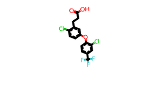 O=C(O)CCc1cc(Oc2ccc(C(F)(F)F)cc2Cl)ccc1Cl